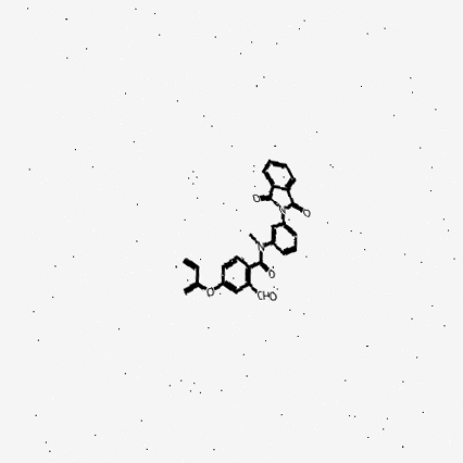 C=CC(=C)Oc1ccc(C(=O)N(C)c2cccc(N3C(=O)c4ccccc4C3=O)c2)c(C=O)c1